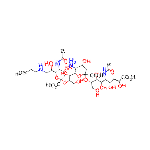 CCCCCCCCCCCCNCC(O)C1OC(OC(CO)C(O)C2OC(OC(CO)C(O)C(O)C(NC(=O)CC)C(O)CC(O)C(=O)O)(C(=O)O)CC(O)C2N)(C(=O)O)CC(O)C1NC(=O)CC